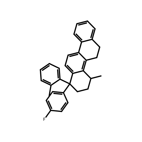 Cc1ccccc1C1(c2ccc(F)cc2)CCC(C)c2c1ccc1c2CCc2ccccc2-1